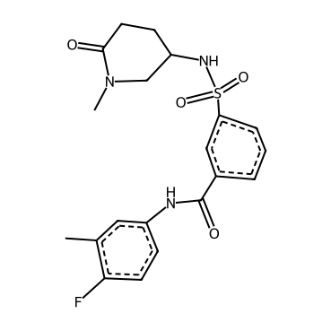 Cc1cc(NC(=O)c2cccc(S(=O)(=O)NC3CCC(=O)N(C)C3)c2)ccc1F